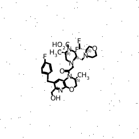 C[C@@H]1CN(CC(=O)N2c3cc(Cc4ccc(F)cc4)c(CO)nc3OC[C@@H]2C)[C@@H](CN2CCOC[C@H]2C(F)F)CN1C(=O)O